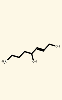 [CH2]CCCC(O)C=CCO